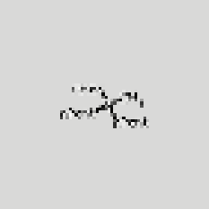 CCCCCC[N+](C)(CCCCC)CCCCC